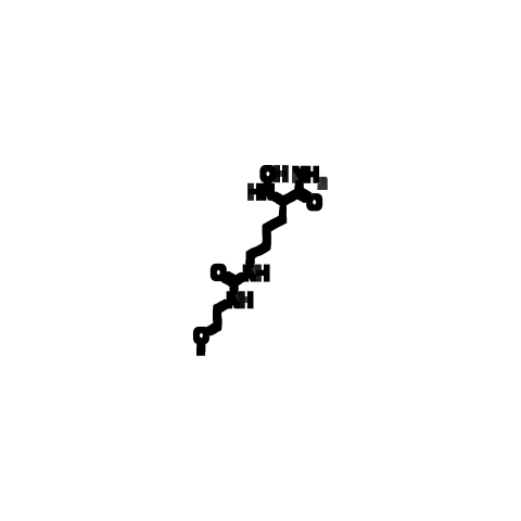 COCCNC(=O)NCCCC[C@@H](NO)C(N)=O